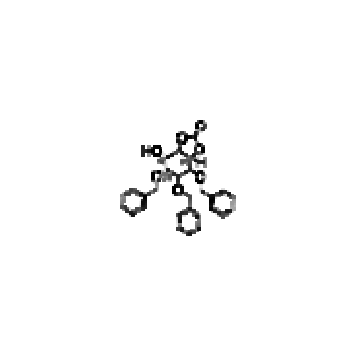 O=C1OC2[C@H](O1)C(OCc1ccccc1)C(OCc1ccccc1)[C@H](OCc1ccccc1)[C@@H]2O